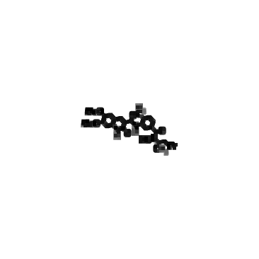 COc1cc2cc(C(=O)Nc3cc(C(=O)N(O)[C@@H](C)CC(C)C)ccc3C)c(=O)[nH]c2cc1OC